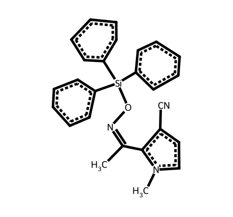 CC(=NO[Si](c1ccccc1)(c1ccccc1)c1ccccc1)c1c(C#N)ccn1C